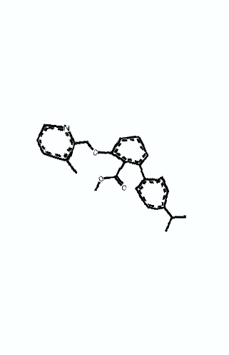 COC(=O)c1c(OCc2ncccc2C)cccc1-c1ccc(C(C)C)cc1